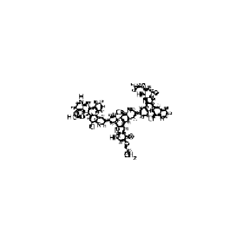 C#COc1c(-c2cc(Cl)c3ncc(-c4cccc(-c5nc6[nH]cc(OCC=C)c(=O)c6cc5-c5cc(Cl)c6ncc(-c7cccc(-c8nc9[nH]c(OC%10CC%10)cc(=O)c9cc8-c8cc(Cl)c9ncccc9c8)c7)cc6c5)c4)cc3c2)c(-c2ccccc2)nc2[nH]ccc(=O)c12